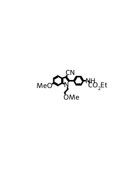 CCOC(=O)Nc1ccc(-c2c(C#N)c3ccc(OC)cc3n2CCOC)cc1